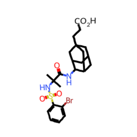 CC(C)(NS(=O)(=O)c1ccccc1Br)C(=O)NC1C2CC3CC1CC(CCC(=O)O)(C3)C2